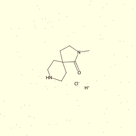 CN1CCC2(CCNCC2)C1=O.[Cl-].[H+]